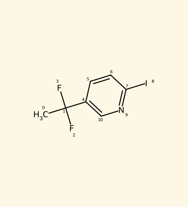 CC(F)(F)c1ccc(I)nc1